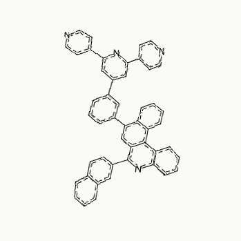 c1cc(-c2cc(-c3ccncc3)nc(-c3ccncc3)c2)cc(-c2cc3c(-c4ccc5ccccc5c4)nc4ccccc4c3c3ccccc23)c1